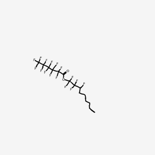 CCCCCCC(F)C(F)(F)C(F)(F)OC(=O)C(F)(F)C(F)(F)C(F)(F)C(F)(F)C(F)(F)F